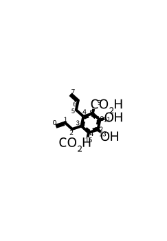 C=CCc1c(CC=C)c(C(=O)O)c(O)c(O)c1C(=O)O